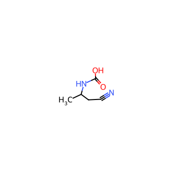 CC(CC#N)NC(=O)O